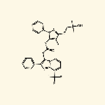 Cc1c(OCC(C)(C)O)nn(-c2ccccc2)c1NC(=O)Nc1c(-c2ccccc2)nc2c(C(F)(F)F)cccn12